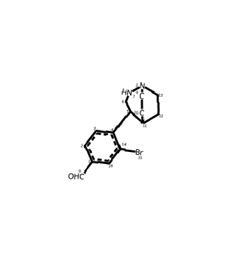 O=Cc1ccc(C2CNN3CCC2CC3)c(Br)c1